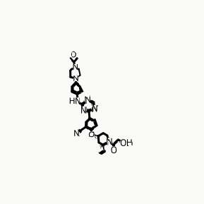 C=C[C@H]1C[C@@H](Oc2ccc(-c3ncnc(Nc4ccc(N5CCN(C6COC6)CC5)cc4)n3)cc2C#N)CCN1C(=O)CO